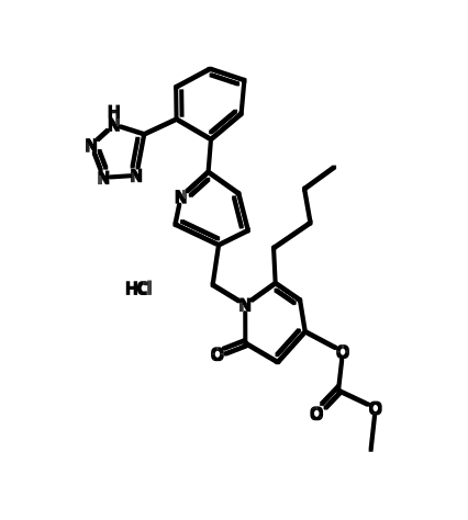 CCCCc1cc(OC(=O)OC)cc(=O)n1Cc1ccc(-c2ccccc2-c2nnn[nH]2)nc1.Cl